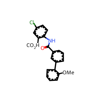 COc1ccccc1-c1cccc(C(=O)Nc2ccc(Cl)cc2C(=O)O)c1